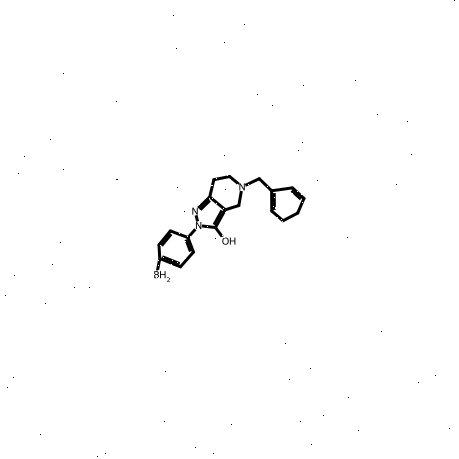 Bc1ccc(-n2nc3c(c2O)CN(CC2=CCCC=C2)CC3)cc1